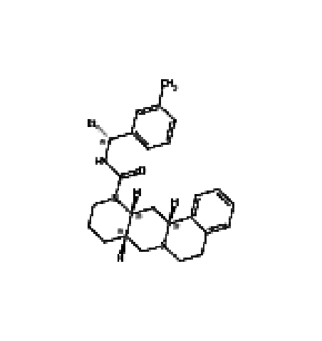 CC[C@@H](NC(=O)N1CCC[C@H]2CN3CCc4ccccc4[C@H]3C[C@H]21)c1cccc(C)c1